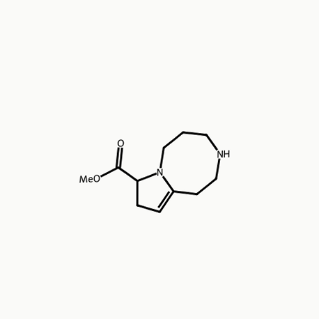 COC(=O)C1CC=C2CCNCCCN21